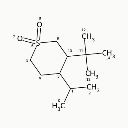 CC(C)C1CCS(=O)(=O)CC1C(C)(C)C